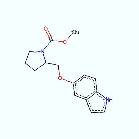 CC(C)(C)OC(=O)N1CCCC1COc1ccc2[nH]ccc2c1